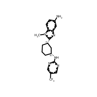 Cn1c([C@H]2CCC[C@@H](Nc3ncc(C(F)(F)F)cn3)C2)nc2cc(N)ccc21